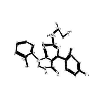 Cc1cc(F)ccc1-c1nc(N[C@@H](C)CO)nc2c1C(=O)NCN2c1ccccc1C